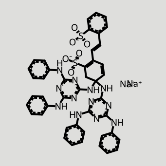 O=S(=O)([O-])C1=C(C=Cc2ccccc2S(=O)(=O)[O-])C=CC(Nc2nc(Nc3ccccc3)nc(Nc3ccccc3)n2)(Nc2nc(Nc3ccccc3)nc(Nc3ccccc3)n2)C1.[Na+].[Na+]